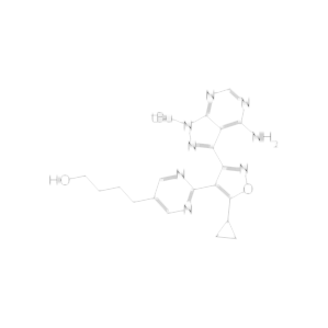 CC(C)(C)n1nc(-c2noc(C3CC3)c2-c2ncc(CCCCO)cn2)c2c(N)ncnc21